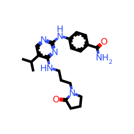 CC(C)c1cnc(Nc2ccc(C(N)=O)cc2)nc1NCCCN1CCCC1=O